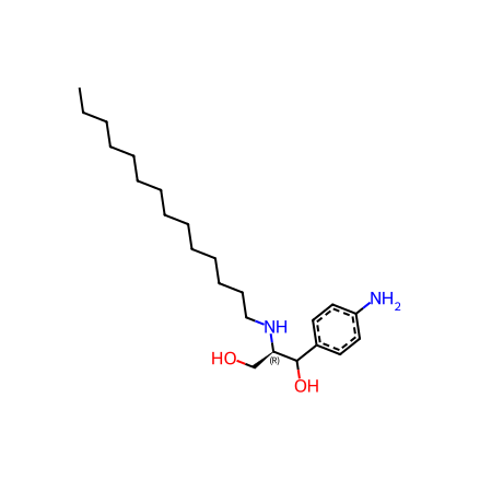 CCCCCCCCCCCCCCN[C@H](CO)C(O)c1ccc(N)cc1